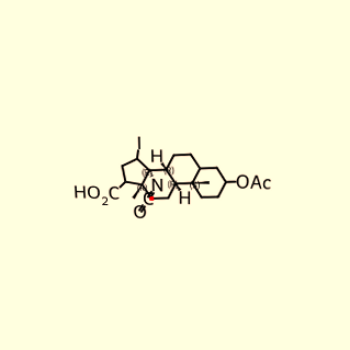 CC(=O)OC1CC[C@@]2(C)C(CC[C@@H]3[C@H]2CC[C@]2(C)C(C(=O)O)CC(I)[C@@]32N=C=O)C1